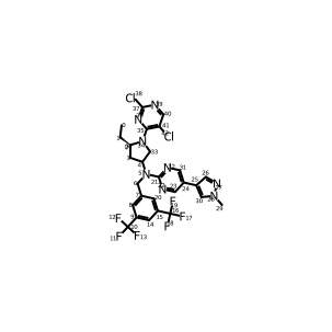 CC[C@@H]1CC(N(Cc2cc(C(F)(F)F)cc(C(F)(F)F)c2)c2ncc(-c3cnn(C)c3)cn2)CN1c1nc(Cl)ncc1Cl